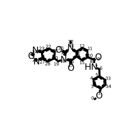 COc1ccc(CNC(=O)c2ccc3c(c2)c(=O)n(Cc2ccc4nonc4c2)c(=O)n3C)cc1